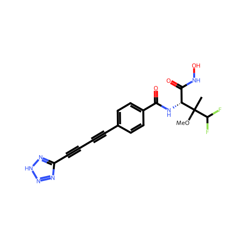 COC(C)(C(F)F)[C@H](NC(=O)c1ccc(C#CC#Cc2nn[nH]n2)cc1)C(=O)NO